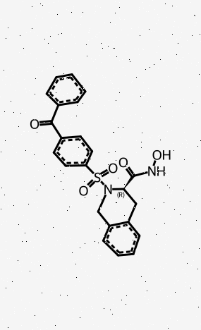 O=C(c1ccccc1)c1ccc(S(=O)(=O)N2Cc3ccccc3C[C@@H]2C(=O)NO)cc1